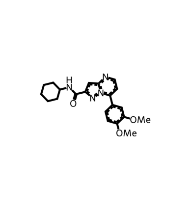 COc1ccc(-c2ccnc3cc(C(=O)NC4CCCCC4)nn23)cc1OC